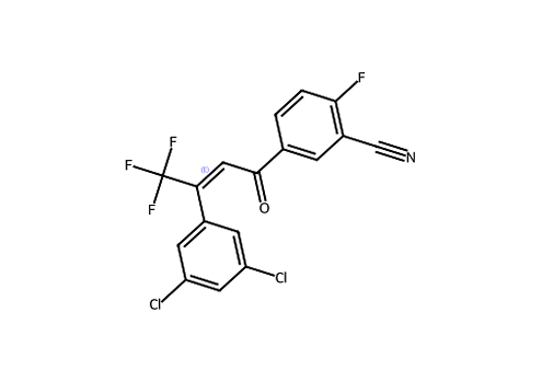 N#Cc1cc(C(=O)/C=C(\c2cc(Cl)cc(Cl)c2)C(F)(F)F)ccc1F